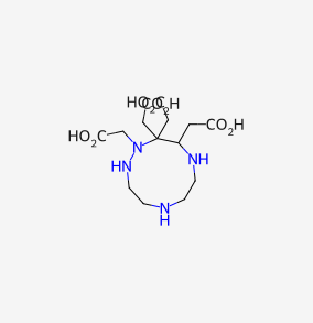 O=C(O)CC1NCCNCCNN(CC(=O)O)C1(CC(=O)O)CC(=O)O